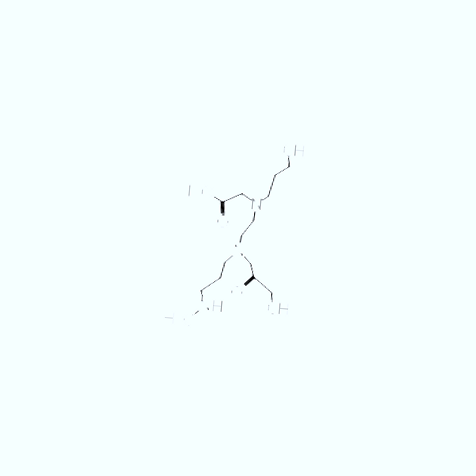 CCCCN(CCN(CCCNC)CC(=O)CC)CC(=O)O